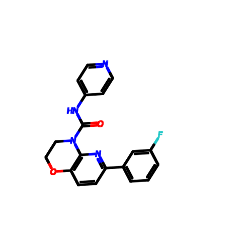 O=C(Nc1ccncc1)N1CCOc2ccc(-c3cccc(F)c3)nc21